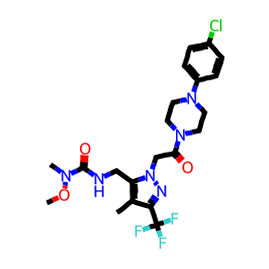 CON(C)C(=O)NCc1c(C)c(C(F)(F)F)nn1CC(=O)N1CCN(c2ccc(Cl)cc2)CC1